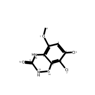 COc1cc(Cl)c(Cl)c2c1NC(=O)NS2